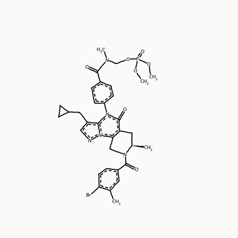 COP(=O)(OC)OCN(C)C(=O)c1ccc(-n2c(=O)c3c(n4ncc(CC5CC5)c24)CN(C(=O)c2ccc(Br)c(C)c2)[C@H](C)C3)cc1